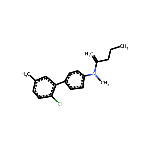 C=C(CCC)N(C)c1ccc(-c2cc(C)ccc2Cl)cc1